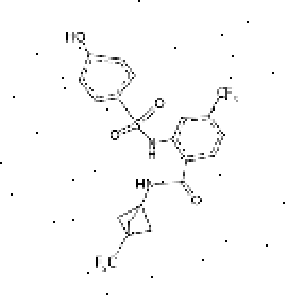 O=C(NC12CC(C(F)(F)F)(C1)C2)c1ccc(C(F)(F)F)cc1NS(=O)(=O)c1ccc(O)cc1